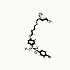 CN(CCO)CCCCCCOc1ccc(N(C)S(=O)(=O)c2ccc(Br)cc2)cc1